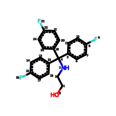 OCCNC(c1ccc(F)cc1)(c1ccc(F)cc1)c1ccc(F)cc1